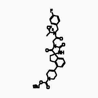 C[C@H](N(Cc1ccc(F)cc1)C(=O)CN1C(=O)NC2(CCc3c(C4=CCN(C(=O)OC(C)(C)C)CC4)cccc32)C1=O)C(F)(F)F